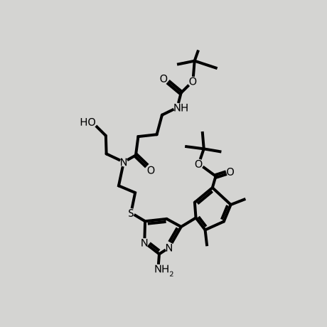 Cc1cc(C)c(-c2cc(SCCN(CCO)C(=O)CCCNC(=O)OC(C)(C)C)nc(N)n2)cc1C(=O)OC(C)(C)C